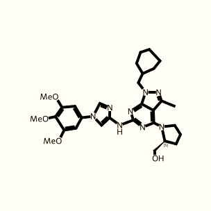 COc1cc(-n2cnc(Nc3nc(N4CCC[C@H]4CO)c4c(C)nn(CC5CCCCC5)c4n3)c2)cc(OC)c1OC